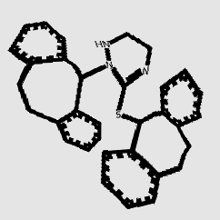 c1ccc2c(c1)CCc1ccccc1C2SC1=NCCNN1C1c2ccccc2CCc2ccccc21